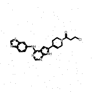 O=C(CCCl)N1CC=C(c2cc3c(Nc4ccc5ncsc5c4)ncnc3[nH]2)CC1